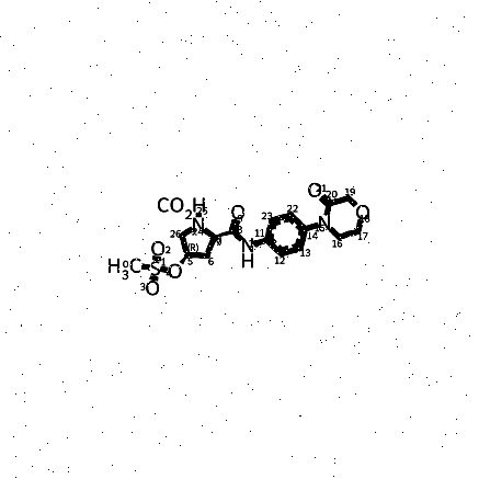 CS(=O)(=O)O[C@@H]1C[C@H](C(=O)Nc2ccc(N3CCOCC3=O)cc2)N(C(=O)O)C1